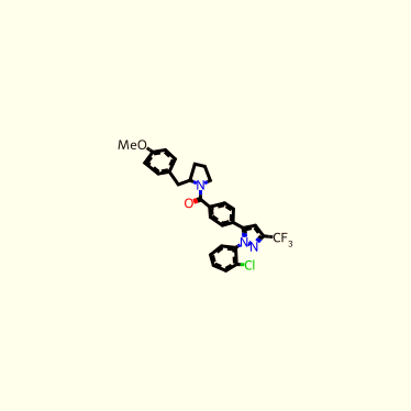 COc1ccc(CC2CCCN2C(=O)c2ccc(-c3cc(C(F)(F)F)nn3-c3ccccc3Cl)cc2)cc1